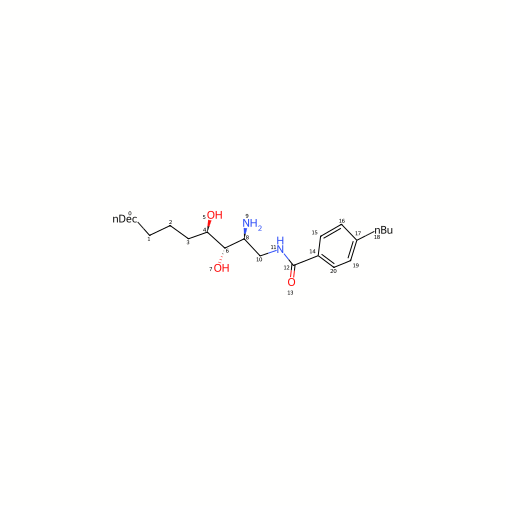 CCCCCCCCCCCCC[C@@H](O)[C@@H](O)[C@@H](N)CNC(=O)c1ccc(CCCC)cc1